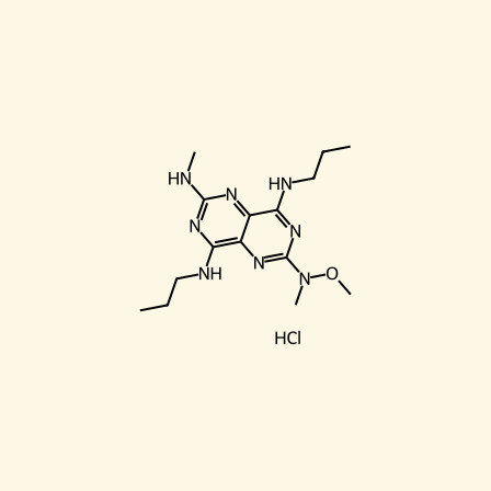 CCCNc1nc(N(C)OC)nc2c(NCCC)nc(NC)nc12.Cl